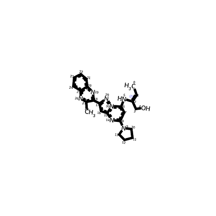 C/C=C(/CO)Nc1cc(N2CCCC2)nc2cc(-c3nc4ccccc4nc3C)nn12